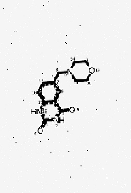 O=c1[nH]c(=O)c2cc(CN3CCOCC3)ccc2[nH]1